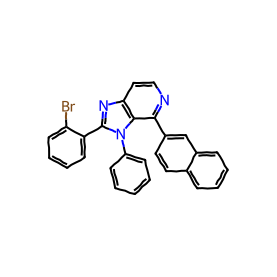 Brc1ccccc1-c1nc2ccnc(-c3ccc4ccccc4c3)c2n1-c1ccccc1